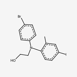 Cc1cc(I)ccc1N(CCO)c1ccc(Br)cc1